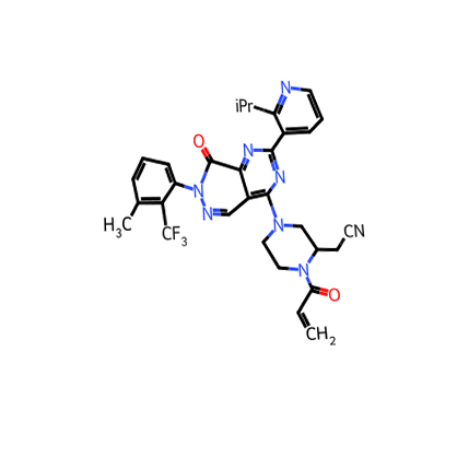 C=CC(=O)N1CCN(c2nc(-c3cccnc3C(C)C)nc3c(=O)n(-c4cccc(C)c4C(F)(F)F)ncc23)CC1CC#N